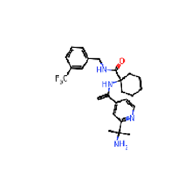 C=C(NC1(C(=O)NCc2cccc(C(F)(F)F)c2)CCCCC1)c1ccnc(C(C)(C)N)c1